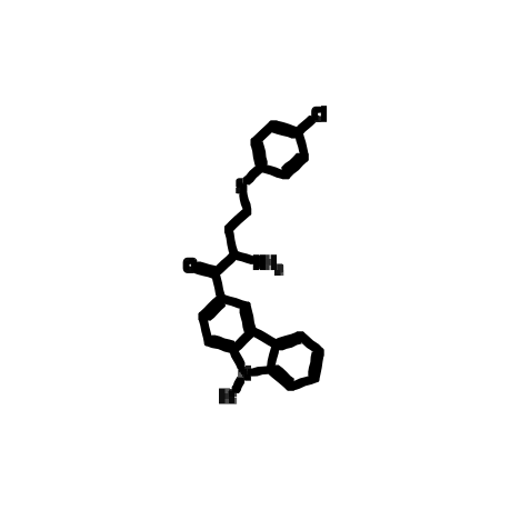 CCn1c2ccccc2c2cc(C(=O)C(N)CCSc3ccc(Cl)cc3)ccc21